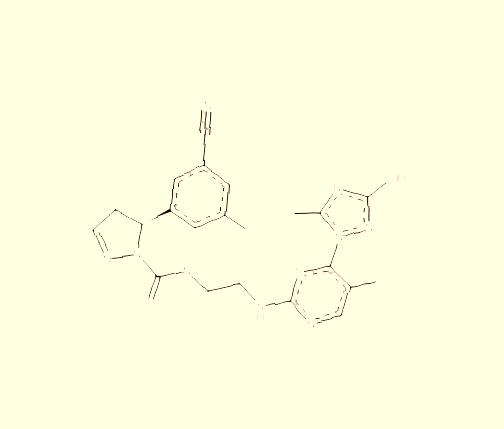 Cc1nc(C)n(-c2nc(NCCNC(=O)N3N=CC[C@H]3c3cc(F)cc(C#N)c3)ncc2F)n1